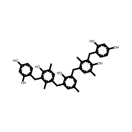 Cc1cc(Cc2cc(C)c(O)c(Cc3ccc(O)cc3O)c2C)c(O)c(Cc2cc(C)c(O)c(Cc3ccc(O)cc3O)c2C)c1